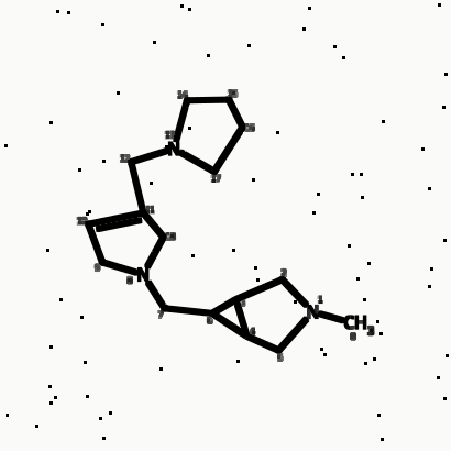 CN1CC2C(C1)C2CN1CC=C(CN2CCCC2)C1